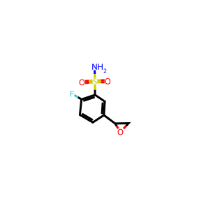 NS(=O)(=O)c1cc(C2CO2)ccc1F